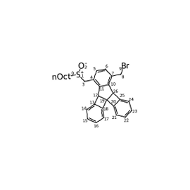 CCCCCCCC[S+]([O-])Cc1ccc(CBr)c2c1C1c3ccccc3C13c1ccccc1C23